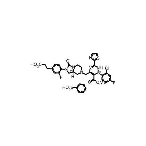 COC(=O)C1=C(CN2CCN3C(=O)N(c4ccc(CCC(=O)O)cc4F)C[C@@H]3C2)N=C(c2nccs2)N[C@H]1c1ccc(F)cc1Cl.O=S(=O)(O)c1ccccc1